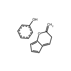 C=C1CC=C2C=CC=C2O1.Oc1ccccc1